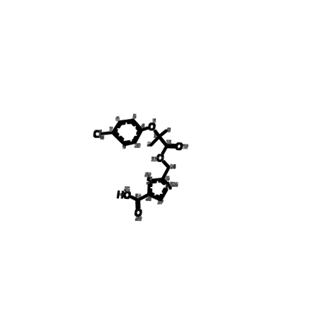 CC(C)(Oc1ccc(Cl)cc1)C(=O)OCc1ncc(C(=O)O)s1